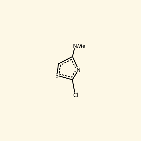 CNc1csc(Cl)n1